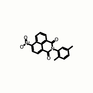 Cc1ccc(C)c(N2C(=O)c3cccc4c([N+](=O)[O-])ccc(c34)C2=O)c1